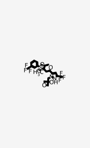 CC1(S(=O)(=O)c2cccc(C(F)(F)F)c2)CCOC(c2cc(C(F)(F)F)nn2CC2(O)COC2)C1